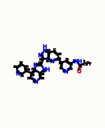 CCCC(=O)Nc1cncc(-c2ccc3[nH]nc(-c4nc5c(-c6cccnc6)cncc5[nH]4)c3n2)c1